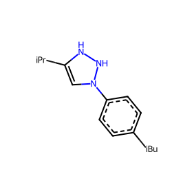 CCC(C)c1ccc(N2C=C(C(C)C)NN2)cc1